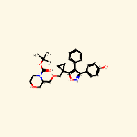 CC(C)(C)OC(=O)N1CCOCC1COCC1(c2onc(-c3ccc(O)cc3)c2-c2ccccc2)CC1